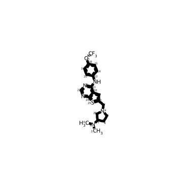 CN(C)C1CCN(Cc2cc3c(Nc4ccc(OC(F)(F)F)cc4)ncnc3s2)C1